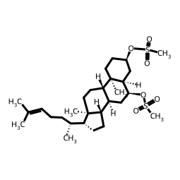 CC(C)=CCC[C@@H](C)[C@H]1CC[C@H]2[C@@H]3C[C@H](OS(C)(=O)=O)[C@@H]4C[C@H](OS(C)(=O)=O)CC[C@]4(C)[C@H]3CC[C@]12C